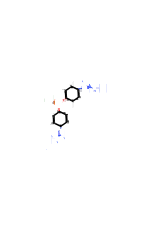 Cl.NNc1ccc(Oc2ccc(NN)cc2)cc1